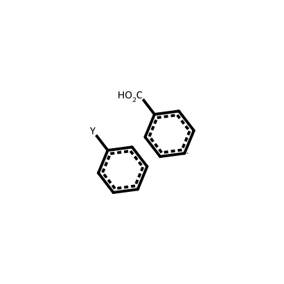 O=C(O)c1cc[c]cc1.[Y][c]1ccccc1